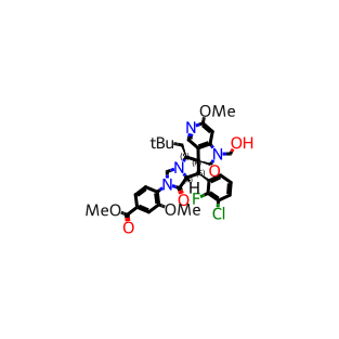 COC(=O)c1ccc(N2CN3[C@@H](CC(C)(C)C)[C@@]4(C(=O)N(CO)c5cc(OC)ncc54)[C@@H](c4cccc(Cl)c4F)[C@@H]3C2=O)c(OC)c1